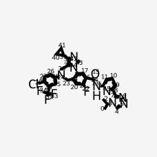 CC(C)n1cnnc1-c1cccc(NC(=O)c2cc3c(cc2F)CN(c2ccc(Cl)c(C(F)(F)F)c2)Cc2c(C4CC4)ncn2-3)n1